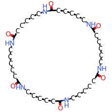 O=C1CCCCCNC(=O)CCCCCNC(=O)CCCCCNC(=O)CCCCCNC(=O)CCCCCNC(=O)CCCCCN1